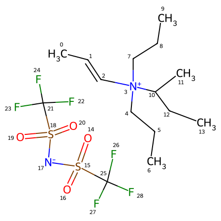 CC=C[N+](CCC)(CCC)C(C)CC.O=S(=O)([N-]S(=O)(=O)C(F)(F)F)C(F)(F)F